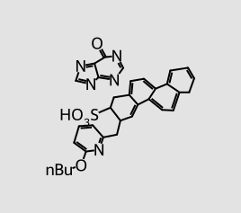 CCCCOc1cccc(CC2C=c3c(ccc4c5c(ccc34)CC=CC=5)CC2S(=O)(=O)O)n1.O=C1N=CN=C2N=CN=C12